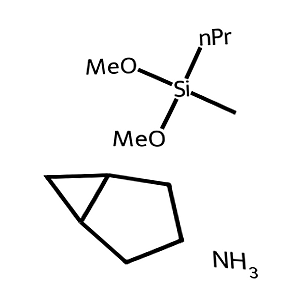 C1CC2CC2C1.CCC[Si](C)(OC)OC.N